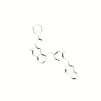 COc1cc2ncnc(Nc3ccc(Oc4cc5nncn5cn4)c(C)c3)c2cc1OC(=O)N1CCNC[C@H]1C